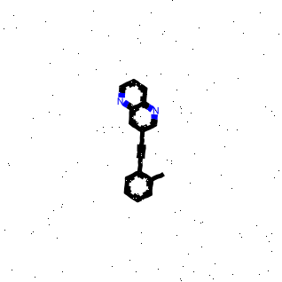 Cc1ccccc1C#Cc1cnc2cccnc2c1